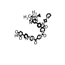 CC(C)n1cnc2cc(-c3ccc4c(c3)N([C@H]3C[C@@H](N5CCCCC5)C3)C(=O)C43CCN(C(=O)N4CCC(C(=O)N5CCN(c6ccc(C7CCC(=O)NC7=O)cn6)CC5)CC4)CC3)nc(NC3CC3)c21